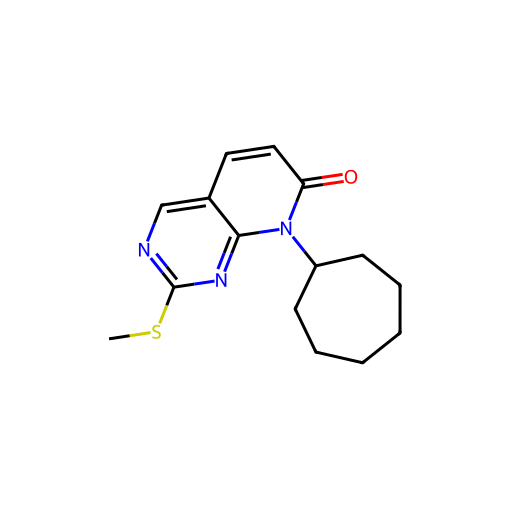 CSc1ncc2ccc(=O)n(C3CCCCCC3)c2n1